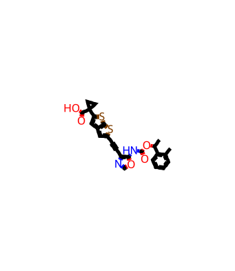 Cc1ccccc1C(C)OC(=O)Nc1ocnc1C#Cc1cc2cc(C3(C(=O)O)CC3)sc2s1